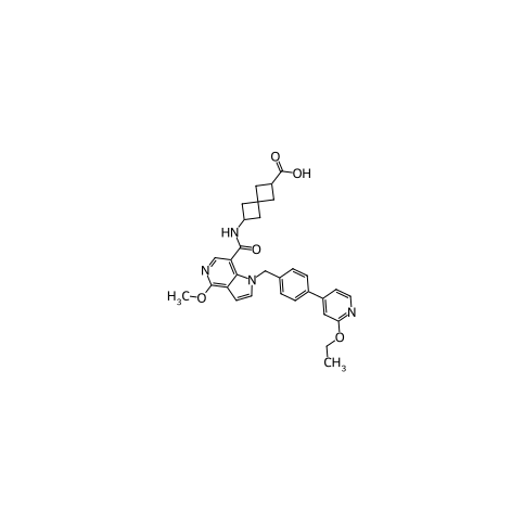 CCOc1cc(-c2ccc(Cn3ccc4c(OC)ncc(C(=O)NC5CC6(C5)CC(C(=O)O)C6)c43)cc2)ccn1